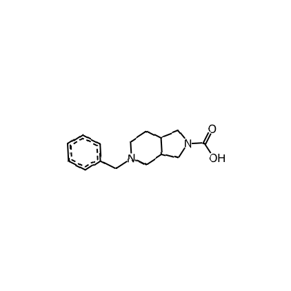 O=C(O)N1CC2CCN(Cc3ccccc3)CC2C1